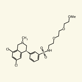 COCCOCCOCCNS(=O)(=O)c1cccc([C@@H]2CN(C)Cc3c(Cl)cc(Cl)cc32)c1